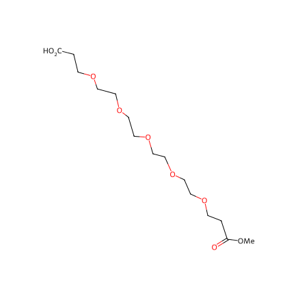 COC(=O)CCOCCOCCOCCOCCOCCC(=O)O